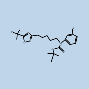 CC(C)(C)NC(=O)N(CCCCCc1noc(C(F)(F)F)n1)c1cccc(Br)c1